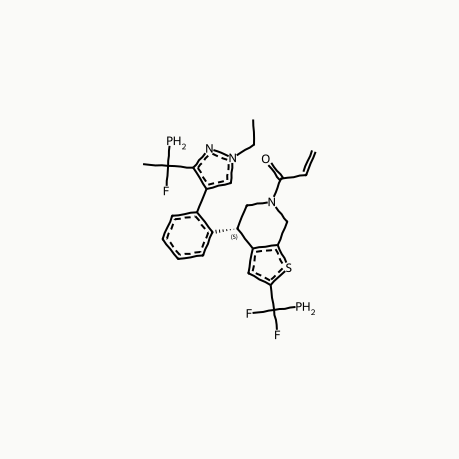 C=CC(=O)N1Cc2sc(C(F)(F)P)cc2[C@H](c2ccccc2-c2cn(CC)nc2C(C)(F)P)C1